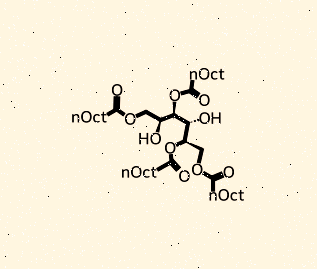 CCCCCCCCC(=O)OC[C@H](O)[C@@H](OC(=O)CCCCCCCC)[C@H](O)[C@@H](COC(=O)CCCCCCCC)OC(=O)CCCCCCCC